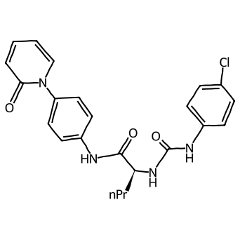 CCC[C@H](NC(=O)Nc1ccc(Cl)cc1)C(=O)Nc1ccc(-n2ccccc2=O)cc1